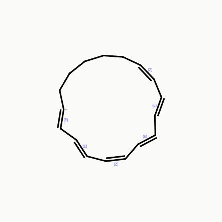 [C]1=C/C=C/C=C\C=C\C=C\C=C/CCCCC/1